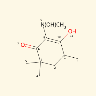 CC1CC(C)(C)C(=O)C(N(C)O)=C1O